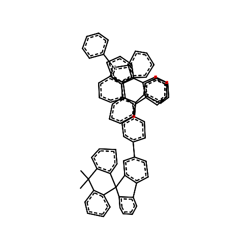 CC1(C)c2ccccc2C2(c3ccccc3-c3ccc(-c4ccc(N(c5ccccc5-c5ccccc5-c5ccccc5-c5ccccc5)c5cccc6c5c5ccccc5n6-c5ccccc5)cc4)cc32)c2ccccc21